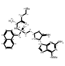 CNc1nc(N)nc2c1ncn2[C@@H]1O[C@H](CO[P@](=S)(N[C@H](C)C(=O)OCC(C)(C)C)Oc2cccc3ccccc23)CC1=N